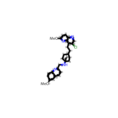 COc1ccc2nc(CNC34CCC(CCc5c(Cl)cnc6ccc(OC)nc56)(CC3)CC4)ccc2c1